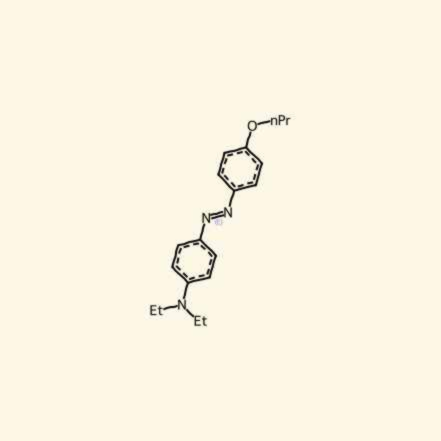 CCCOc1ccc(/N=N/c2ccc(N(CC)CC)cc2)cc1